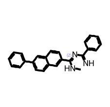 CN/C(=N\C(=N)c1ccccc1)c1ccc2cc(-c3ccccc3)ccc2c1